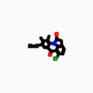 COc1cc2c(=O)c3c(Cl)ccc4c3n(c2c(C)c1C)C(=O)C4